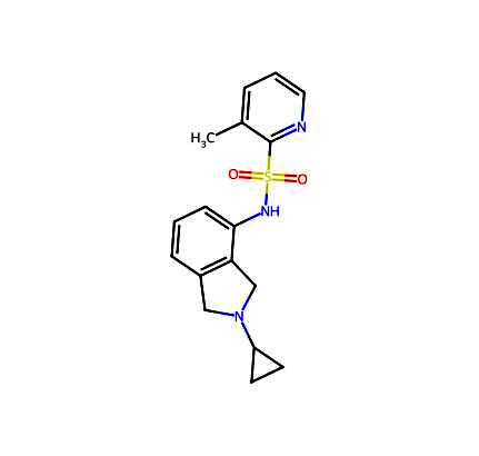 Cc1cccnc1S(=O)(=O)Nc1cccc2c1CN(C1CC1)C2